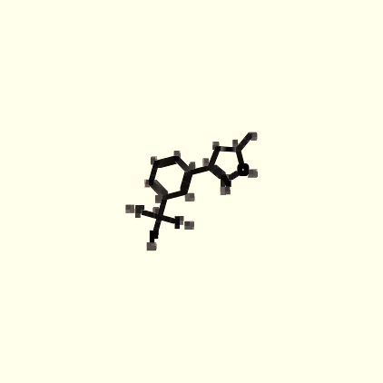 CC1CC(c2cccc(C(F)(F)F)c2)=NO1